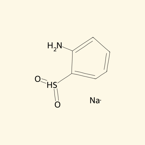 Nc1ccccc1[SH](=O)=O.[Na]